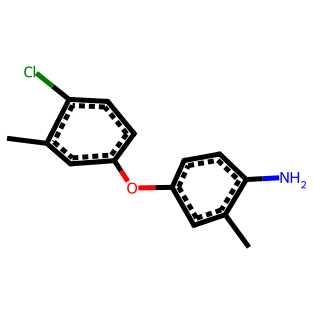 Cc1cc(Oc2ccc(Cl)c(C)c2)ccc1N